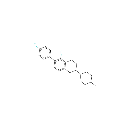 CC1CCC(C2CCc3c(ccc(-c4ccc(F)cc4)c3F)C2)CC1